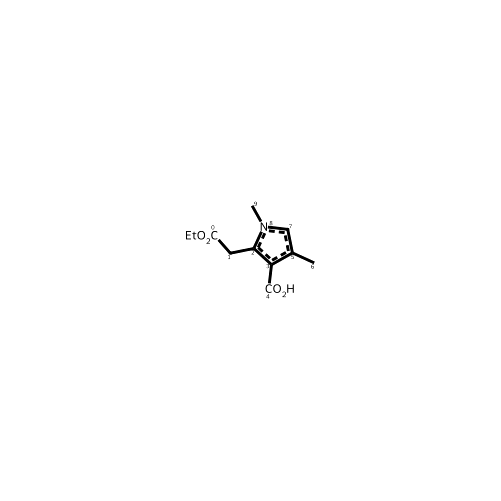 CCOC(=O)Cc1c(C(=O)O)c(C)cn1C